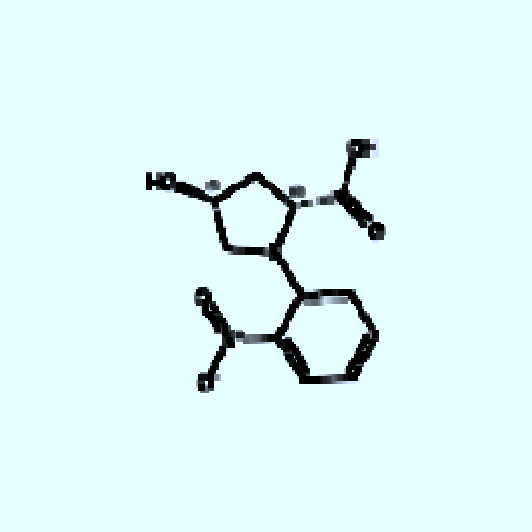 O=C(O)[C@H]1C[C@H](O)CN1c1ccccc1[N+](=O)[O-]